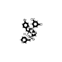 C[C@@]1(Cc2ccc(Br)cc2)C(=O)N(c2cc(Cl)cc(Cl)c2)c2ncc(S(=O)(=O)Cc3cccnc3)n21